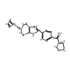 O=C(c1ccc(-c2nc3c(s2)CCN(C2=CC=C2)CC3)cc1)N1CCCC1